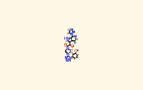 COc1cccc(-n2nnnc2N2CCN(C(=O)C(=O)c3c[nH]c4c(-n5ccnn5)ncc(F)c34)CC2)c1